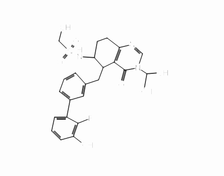 CCS(=O)(=O)NC1CCc2ncn(C(C)C)c(=O)c2C1Cc1cccc(-c2cccc(C)c2F)c1